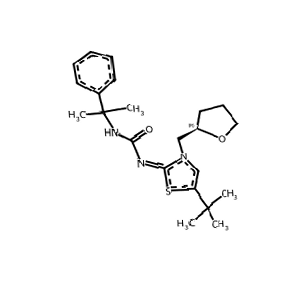 CC(C)(C)c1cn(C[C@H]2CCCO2)c(=NC(=O)NC(C)(C)c2ccccc2)s1